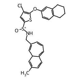 CC1=CC2C=C(CN[S+]([O-])c3cc(Cl)c(Oc4ccc5c(c4)CCCC5)s3)C=CC=C2C=C1